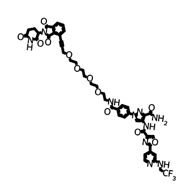 NC(=O)c1nn(-c2ccc(C(=O)NCCOCCOCCOCCOCC#Cc3cccc4c3C(=O)N(C3CCC(=O)NC3=O)C4=O)cc2)cc1NC(=O)c1coc(-c2ccnc(NCC(F)(F)F)c2)n1